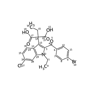 CCn1c(C(=O)c2ccc(Br)cc2)c(C(CC)(C(=O)O)C(=O)O)c2ccc(Cl)cc21